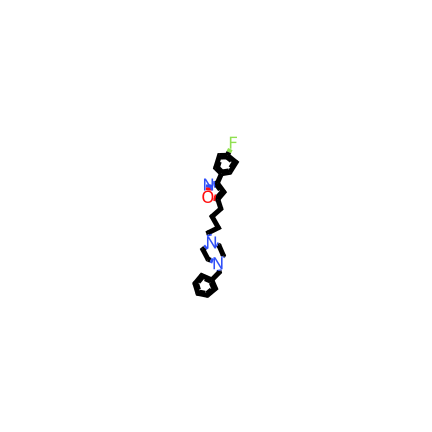 Fc1ccc(-c2cc(CCCCN3CCN(Cc4ccccc4)CC3)on2)cc1